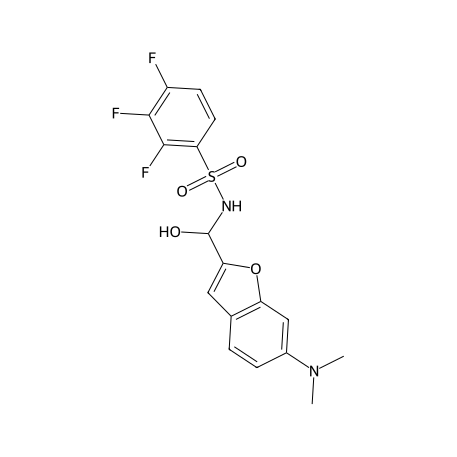 CN(C)c1ccc2cc(C(O)NS(=O)(=O)c3ccc(F)c(F)c3F)oc2c1